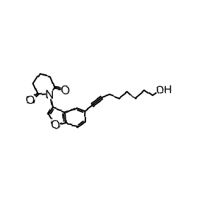 O=C1CCCC(=O)N1c1coc2ccc(C#CCCCCCCO)cc12